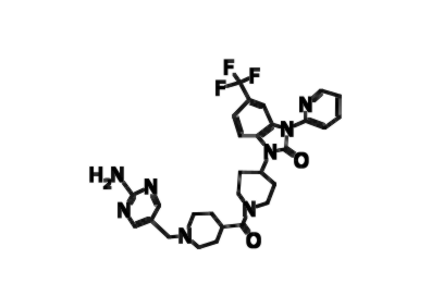 Nc1ncc(CN2CCC(C(=O)N3CCC(n4c(=O)n(-c5ccccn5)c5cc(C(F)(F)F)ccc54)CC3)CC2)cn1